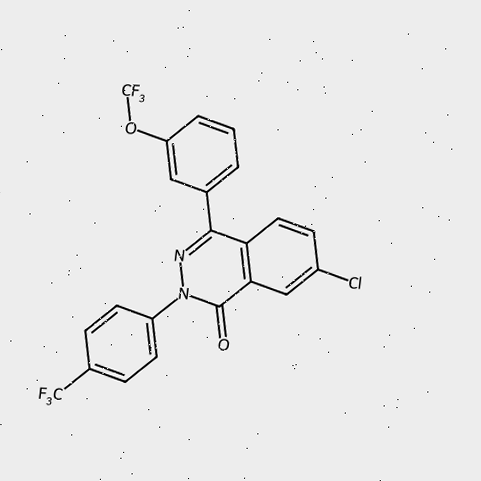 O=c1c2cc(Cl)ccc2c(-c2cccc(OC(F)(F)F)c2)nn1-c1ccc(C(F)(F)F)cc1